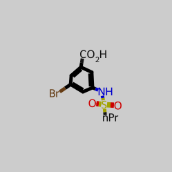 CCCS(=O)(=O)Nc1cc(Br)cc(C(=O)O)c1